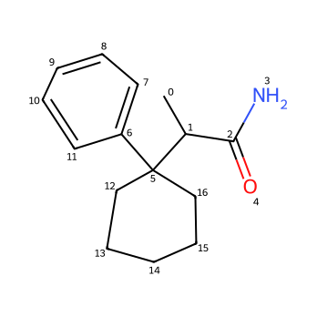 CC(C(N)=O)C1(c2ccccc2)CCCCC1